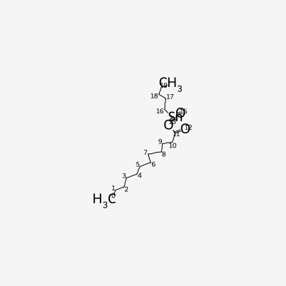 CCCCCCCCCCCC(=O)[O][Sn](=[O])[CH2]CCC